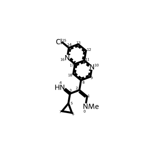 CN/C=C(\C(=N)C1CC1)c1cnc2ccc(Cl)nc2c1